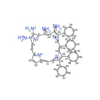 NC1=C(N)C2=NC1=CC1=NC(=CC3=NC(=C(c4ccccc4)C4=NC(=C2N)C(N)=C4c2ccccc2)C(c2ccccc2)=C3c2ccccc2)C=C1